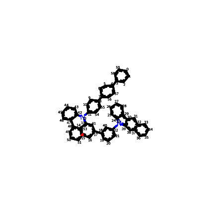 c1ccc(-c2ccc(-c3ccc(N(c4cccc(-c5cccc(-n6c7ccccc7c7cc8ccccc8cc76)c5)c4)c4ccccc4-c4ccccc4)cc3)cc2)cc1